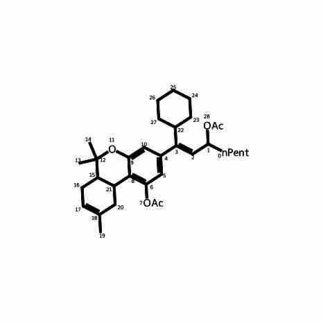 CCCCCC(C=C(c1cc(OC(C)=O)c2c(c1)OC(C)(C)C1CC=C(C)CC21)C1CCCCC1)OC(C)=O